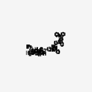 CC(C)CCC[C@@H](C)[C@H]1CC[C@H]2[C@@H]3CC[C@H]4CC(c5ccc(-c6nc(-c7ccccc7)nc(-c7cccc(-n8c9ccccc9c9cc%10c%11ccccc%11n(-c%11ccccc%11)c%10cc98)c7)n6)cc5)CC[C@]4(C)[C@H]3CC[C@]12C